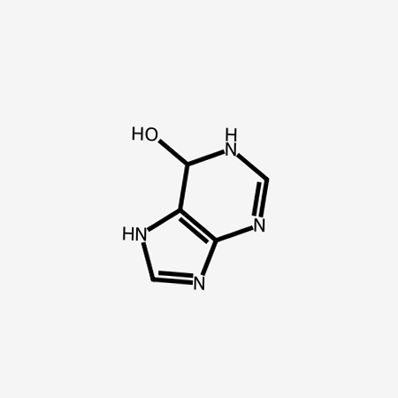 OC1NC=Nc2nc[nH]c21